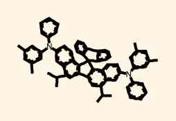 Cc1cc(C)cc(N(c2ccccc2)c2ccc3c4c(cc(C(C)C)c3c2)-c2cc(C(C)C)c3cc(N(c5ccccc5)c5cc(C)cc(C)c5)ccc3c2C42c3ccccc3-c3ccccc32)c1